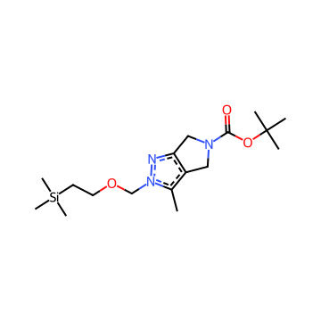 Cc1c2c(nn1COCC[Si](C)(C)C)CN(C(=O)OC(C)(C)C)C2